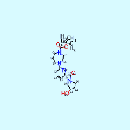 CC(C)(C)OC(=O)N1CCCN(c2cccc(C(=O)N3CCC(O)C3)n2)CC1